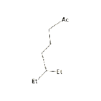 CCC(CC)CCCC(C)=O